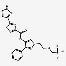 O=C(Nc1cn(CCOCC(F)(F)F)nc1-c1ccccn1)c1csc(-c2cc[nH]n2)n1